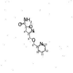 NC(=O)C1CC(COCc2ccccn2)=NO1